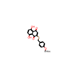 CCCCCCOc1ccc(CSC2=CC(=O)c3c(O)ccc(O)c3C2=O)cc1